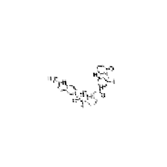 Cc1ccc2cc(S(=O)(=O)N[C@H]3CCCN(CC(=O)N4C[C@@H]5C[C@H](C4)c4cccc(=O)n4C5)C3=O)ccc2n1